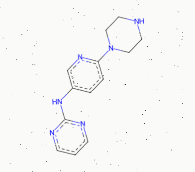 c1cnc(Nc2ccc(N3CCNCC3)nc2)nc1